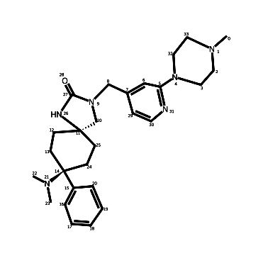 CN1CCN(c2cc(CN3C[C@]4(CC[C@](c5ccccc5)(N(C)C)CC4)NC3=O)ccn2)CC1